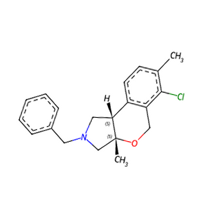 Cc1ccc2c(c1Cl)CO[C@]1(C)CN(Cc3ccccc3)C[C@H]21